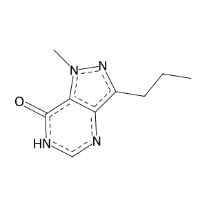 CCCc1nn(C)c2c(=O)[nH]cnc12